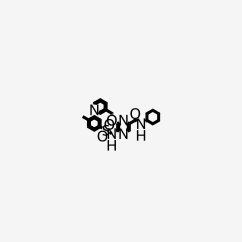 Cc1ccc(S(=O)(=O)Nc2ncc(C(=O)NC3CCCCC3)nc2OCc2cccnc2)cc1